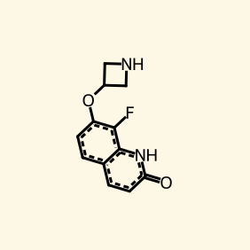 O=c1ccc2ccc(OC3CNC3)c(F)c2[nH]1